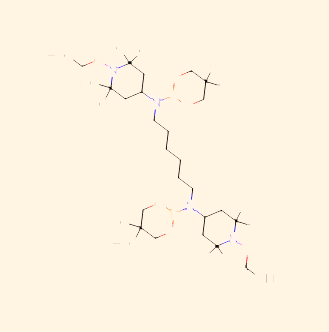 CCON1C(C)(C)CC(N(CCCCCCN(C2CC(C)(C)N(OCC)C(C)(C)C2)P2OCC(C)(C)CO2)P2OCC(C)(C)CO2)CC1(C)C